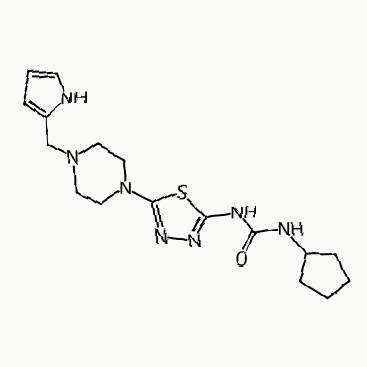 O=C(Nc1nnc(N2CCN(Cc3ccc[nH]3)CC2)s1)NC1CCCC1